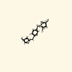 Cc1cnn(Cc2ccc(Cn3nc(C)cc3C)cc2)c1